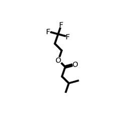 CC(C)CC(=O)OCCC(F)(F)F